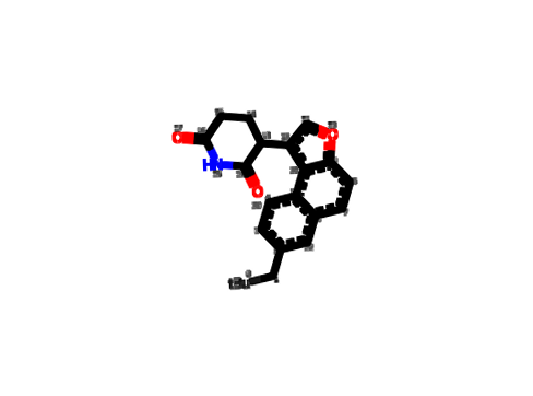 CC(C)(C)Cc1ccc2c(ccc3occ(C4CCC(=O)NC4=O)c32)c1